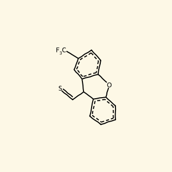 FC(F)(F)c1ccc2c(c1)C(C=S)c1ccccc1O2